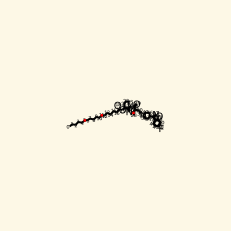 CCCCCCCCCCCCCCCCCC(=O)OC1CCCn2c1nc(C)c(CCN1CCC(c3noc4cc(F)ccc34)CC1)c2=O